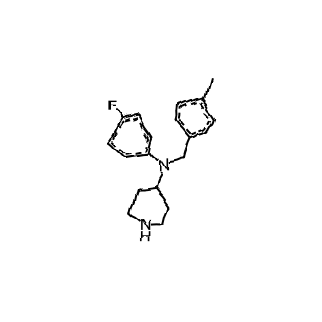 Cc1ccc(CN(c2ccc(F)cc2)C2CCNCC2)cc1